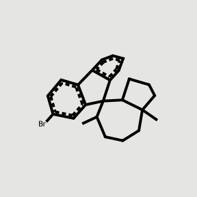 CC1CCCC2(C)CCCC2C12c1ccccc1-c1ccc(Br)cc12